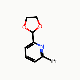 CC(C)c1cccc(C2OCCO2)n1